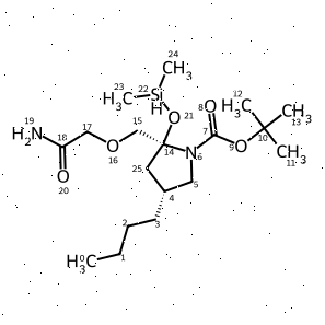 CCCC[C@H]1CN(C(=O)OC(C)(C)C)[C@](COCC(N)=O)(O[SiH](C)C)C1